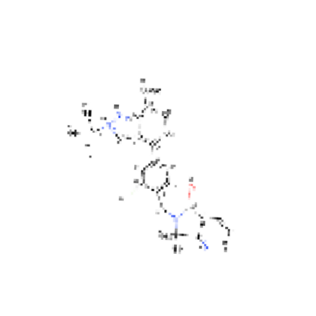 [2H]C1([2H])c2ncccc2C(=O)N1Cc1ccc(-c2ccc(OC)c3nn(C([2H])([2H])[2H])cc23)cc1F